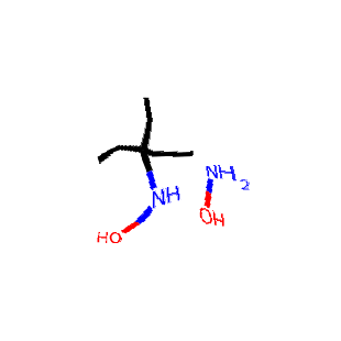 CC(C)(C)NO.NO